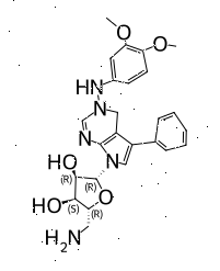 COc1ccc(NN2C=Nc3c(c(-c4ccccc4)cn3[C@@H]3O[C@H](CN)[C@@H](O)[C@H]3O)C2)cc1OC